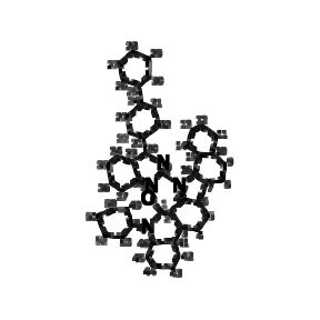 O=c1c2c(ccc3c4ccc5ccccc5c4n(-c4nc(-c5ccc(-c6ccccc6)cc5)c5ccccc5n4)c32)c2ccccc2n1-c1ccccc1